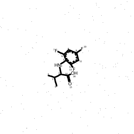 CC(C)C(Nc1c(F)cc(F)cc1F)C(=O)O